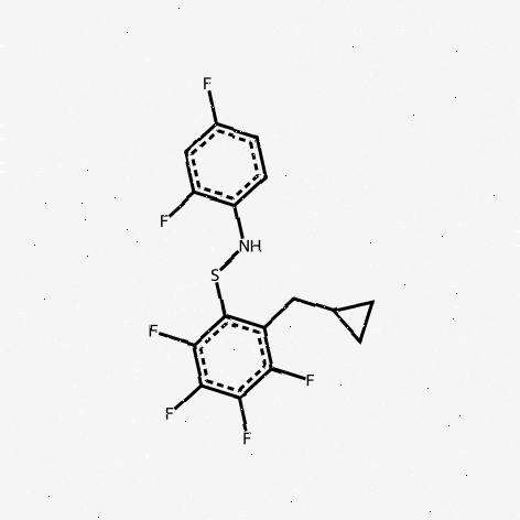 Fc1ccc(NSc2c(F)c(F)c(F)c(F)c2CC2CC2)c(F)c1